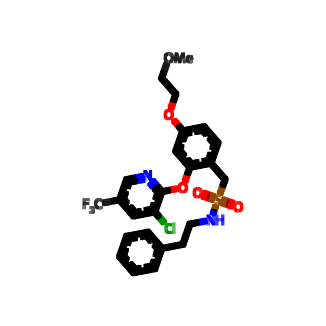 COCCOc1ccc(CS(=O)(=O)NCCc2ccccc2)c(Oc2ncc(C(F)(F)F)cc2Cl)c1